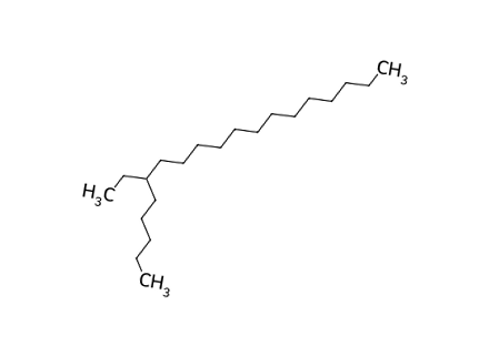 CCCCCCCCCCCCCC(CC)CCCCC